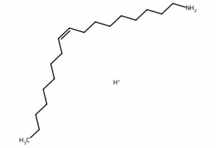 CCCCCCCC/C=C\CCCCCCCCN.[H+]